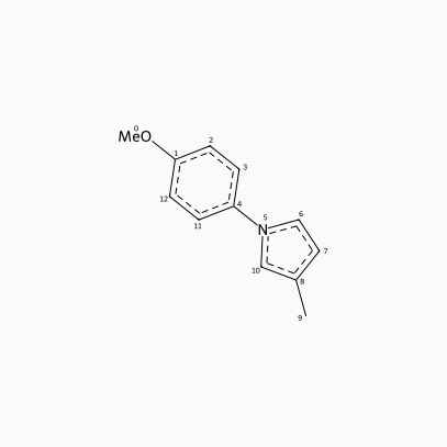 COc1ccc(-n2ccc(C)c2)cc1